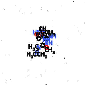 COc1cc(N(C)CCN(C)C)ccc1Nc1nc2c(c(Nc3ccccc3S(=O)(=O)NC(C)C)n1)C(C)(C)CN2